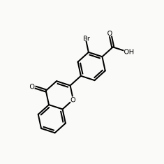 O=C(O)c1ccc(-c2cc(=O)c3ccccc3o2)cc1Br